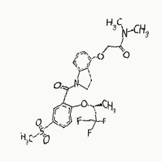 C[C@H](Oc1ccc(S(C)(=O)=O)cc1C(=O)N1CCc2c(OCC(=O)N(C)C)cccc21)C(F)(F)F